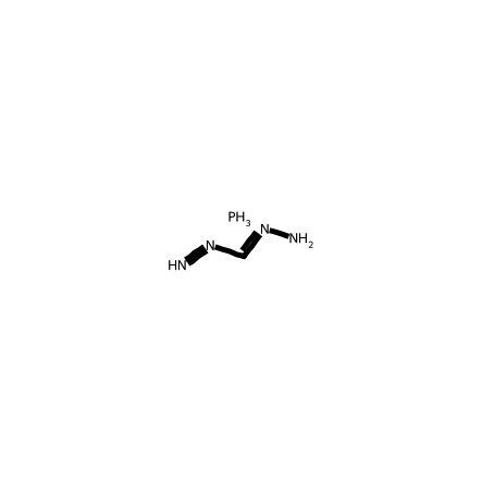 N=NC=NN.P